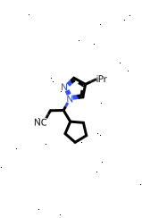 CC(C)c1cnn(C(CC#N)C2CCCC2)c1